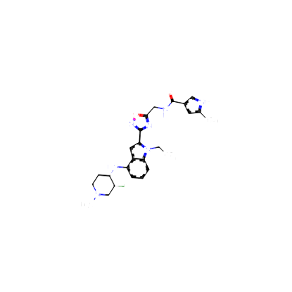 CN1CC[C@@H](Nc2cccc3c2cc(-c2noc(CNC(=O)c4c[nH]c(C(C)(C)C)c4)n2)n3CC(F)(F)F)[C@@H](F)C1